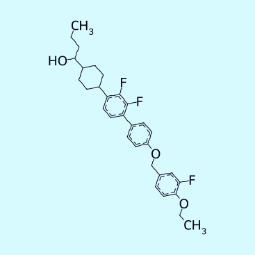 CCCC(O)C1CCC(c2ccc(-c3ccc(OCc4ccc(OCC)c(F)c4)cc3)c(F)c2F)CC1